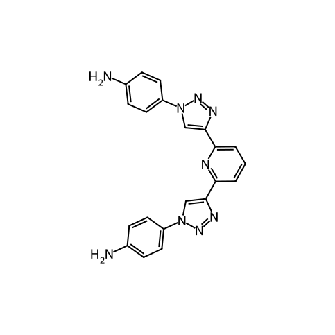 Nc1ccc(-n2cc(-c3cccc(-c4cn(-c5ccc(N)cc5)nn4)n3)nn2)cc1